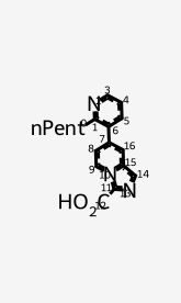 CCCCCc1ncccc1-c1ccn2c(C(=O)O)ncc2c1